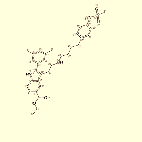 CCOC(=O)c1ccc2[nH]c(-c3cc(C)cc(C)c3)c(CCNCCCCc3ccc(NS(C)(=O)=O)cc3)c2c1